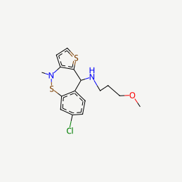 COCCCNC1c2ccc(Cl)cc2SN(C)c2ccsc21